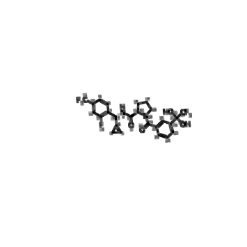 O=C(N[C@H](C1=CC1)c1ccc(C(F)(F)F)cc1F)[C@H]1CCCN1C(=O)c1cccc(C(O)(O)C(F)(F)F)c1